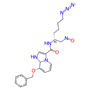 [N-]=[N+]=NCCCC[C@H](CN=O)NC(=O)C1=CNC2C(OCc3ccccc3)=CC=CN12